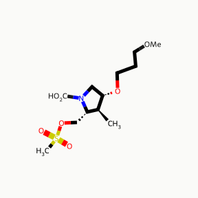 COCCCO[C@H]1CN(C(=O)O)[C@@H](COS(C)(=O)=O)[C@@H]1C